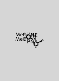 C#Cc1cccc(Nc2nc(F)nc3cc(OC)c(OC)cc23)c1